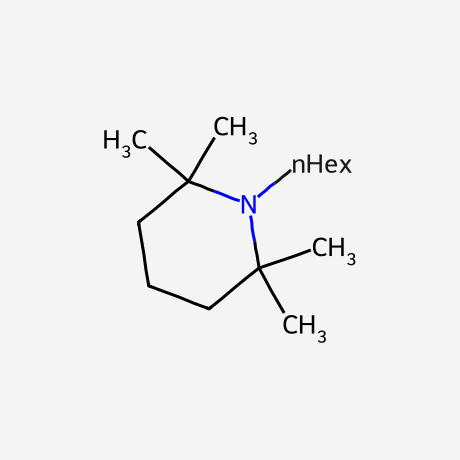 CCCCCCN1C(C)(C)CCCC1(C)C